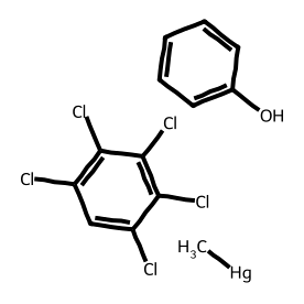 Clc1cc(Cl)c(Cl)c(Cl)c1Cl.Oc1ccccc1.[CH3][Hg]